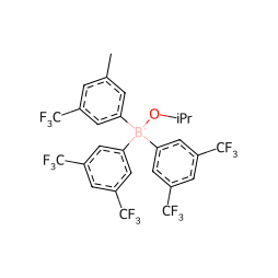 Cc1cc([B-](OC(C)C)(c2cc(C(F)(F)F)cc(C(F)(F)F)c2)c2cc(C(F)(F)F)cc(C(F)(F)F)c2)cc(C(F)(F)F)c1